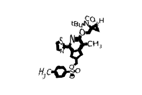 Cc1ccc(S(=O)(=O)OCC2Cc3c(-c4nccs4)nc(OCC4(N(C(=O)O)C(C)(C)C)CC4)c(C)c3C2)cc1